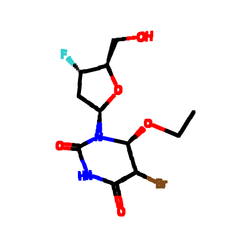 CCO[C@H]1C(Br)C(=O)NC(=O)N1[C@H]1C[C@H](F)[C@@H](CO)O1